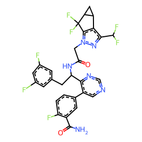 NC(=O)c1cc(-c2cncnc2C(Cc2cc(F)cc(F)c2)NC(=O)Cn2nc(C(F)F)c3c2C(F)(F)C2CC32)ccc1F